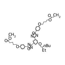 C=COC(=O)CCCCOc1ccc(-c2nc(-c3cc(OCC(CC)CCCC)cc(-c4noc(-c5ccc(OCCCCOC(=O)C=C)cc5)n4)c3)no2)cc1